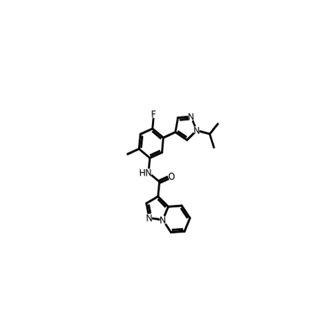 Cc1cc(F)c(-c2cnn(C(C)C)c2)cc1NC(=O)c1cnn2ccccc12